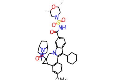 COc1ccc2c(c1)C1CC1(C(=O)N1C3CCC1CN(C)C3)Cn1c-2c(C2CCCCC2)c2ccc(C(=O)NS(=O)(=O)N3C[C@@H](C)O[C@@H](C)C3)cc21